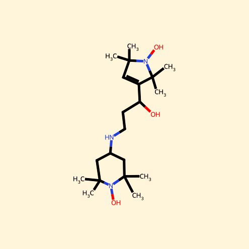 CC1(C)C=C(C(O)CCNC2CC(C)(C)N(O)C(C)(C)C2)C(C)(C)N1O